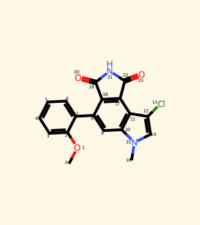 COc1ccccc1-c1cc2c(c(Cl)cn2C)c2c1C(=O)NC2=O